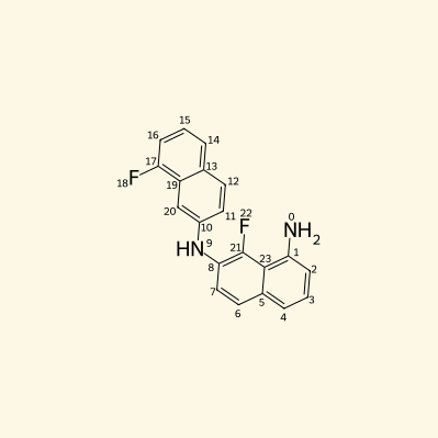 Nc1cccc2ccc(Nc3ccc4cccc(F)c4c3)c(F)c12